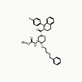 CC(C)(C)OC(=O)N[C@H]1C[C@H](C(=O)N2CCc3ccccc3[C@@H]2c2ccc(F)cc2)OC[C@@H]1OCCOCc1ccccc1